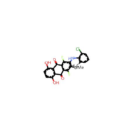 COc1c(F)c2c(c(F)c1Nc1c(C)cccc1Cl)C(=O)c1c(O)ccc(O)c1C2=O